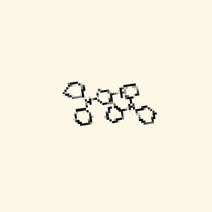 C1=CC(N2C3=CCC2(N(c2ccccc2)c2ccccc2)C=C3)=CC[C]1N(c1ccccc1)c1ccccc1